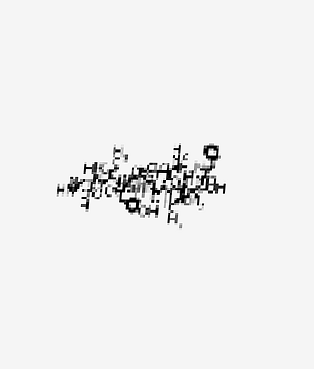 CC[C@H](C)[C@H](NC(=O)[C@H](Cc1ccc(O)cc1)NC(=O)[C@H](C)NC(=O)[C@H](CC(=O)O)NC(=O)[C@H](CCCCN)NC(=O)[C@@H](NC(=O)[C@H](CO)NC(=O)[C@@H](N)Cc1ccccc1)[C@@H](C)CC)C(=O)N[C@@H](Cc1c[nH]cn1)C(=O)O